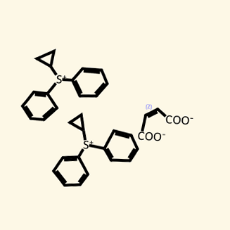 O=C([O-])/C=C\C(=O)[O-].c1ccc([S+](c2ccccc2)C2CC2)cc1.c1ccc([S+](c2ccccc2)C2CC2)cc1